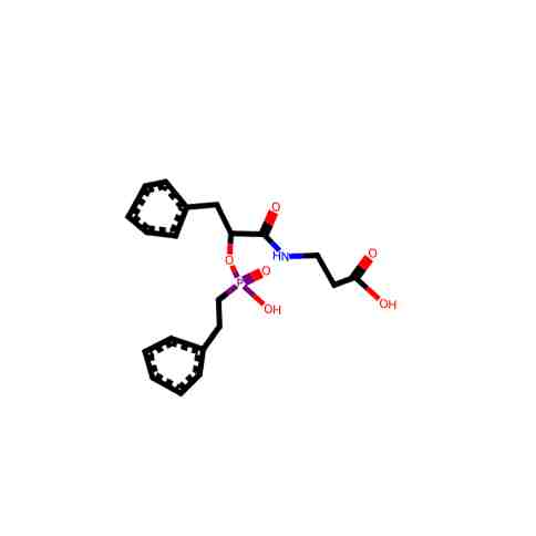 O=C(O)CCNC(=O)C(Cc1ccccc1)OP(=O)(O)CCc1ccccc1